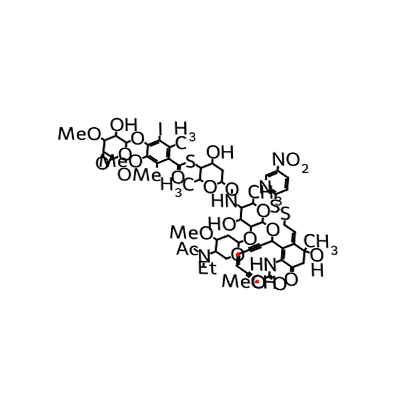 C#C/C=C\C#CC(OC1OC(C)C(NOC2CC(O)C(SC(=O)c3c(C)c(I)c(OC4OC5OC5C(OC)C4O)c(OC)c3OC)C(C)O2)C(O)C1OC1CC(OC)C(N(CC)C(C)=O)CO1)C1=C(NC(=O)OC)C(=O)CC(C)(O)/C1=C/CSSc1ccc([N+](=O)[O-])cn1